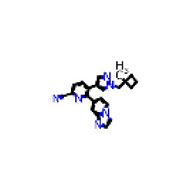 CC1(Cn2cc(-c3ccc(C#N)nc3-c3ccn4ccnc4c3)cn2)CCC1